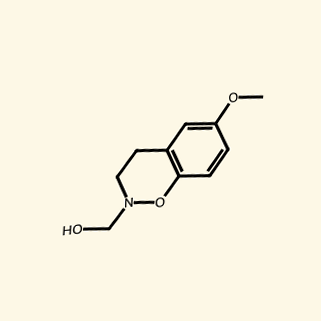 COc1ccc2c(c1)CCN(CO)O2